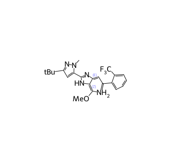 C=C(/C=c1/nc(-c2cc(C(C)(C)C)nn2C)[nH]/c1=C(/N)OC)c1ccccc1C(F)(F)F